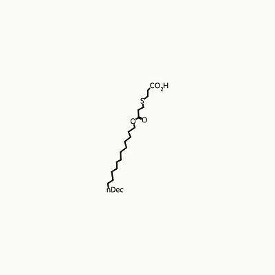 CCCCCCCCCCCCCCCCCCCCCCOC(=O)CCSCCC(=O)O